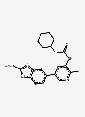 CC(=O)Nc1nc2ccc(-c3cnc(F)c(NC(=O)OC4CCCCC4)c3)cc2s1